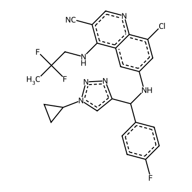 CC(F)(F)CNc1c(C#N)cnc2c(Cl)cc(NC(c3ccc(F)cc3)c3cn(C4CC4)nn3)cc12